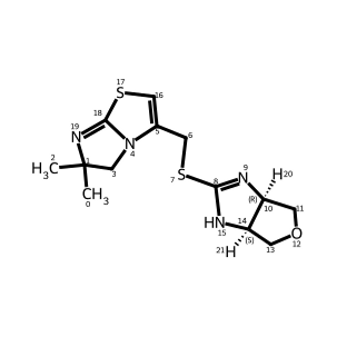 CC1(C)CN2C(CSC3=N[C@H]4COC[C@H]4N3)=CSC2=N1